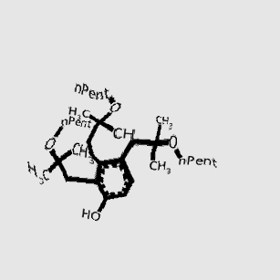 CCCCCOC(C)(C)Cc1ccc(O)c(CC(C)(C)OCCCCC)c1CC(C)(C)OCCCCC